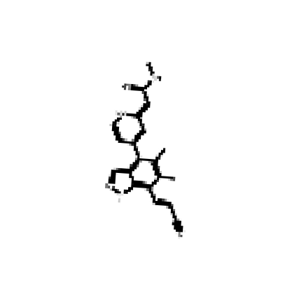 CNC(=N)/C=C1/C=C(c2c(C)c(F)c(/C=C/C#N)c3[nH]ncc23)C=CN1